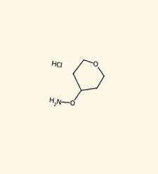 Cl.NOC1CCOCC1